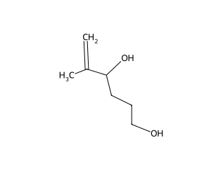 C=C(C)C(O)CCCO